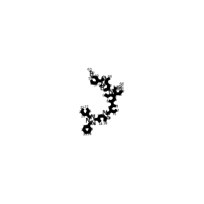 C=Cc1c(/C=C(C)/C(C)=C/C(=C\C)c2n/c(=C/C(=C)c3nc(C(/C=C\C)=C/C)nc(-c4ccccc4)n3)c(=C)s2)c(/C=C\BC)c(C)n1C(/C=B\C)=C/c1nc(C(/C=C\C)=C/C=B\C)oc1C